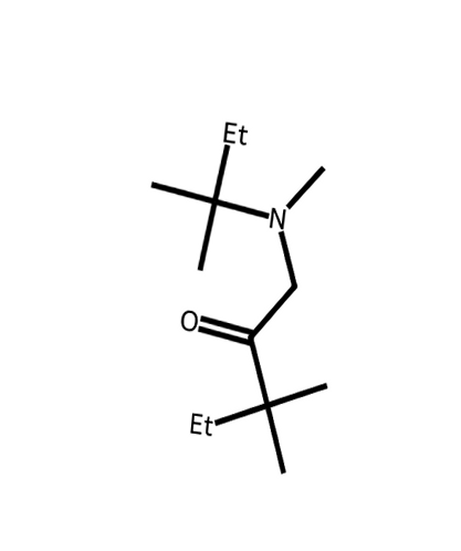 CCC(C)(C)C(=O)CN(C)C(C)(C)CC